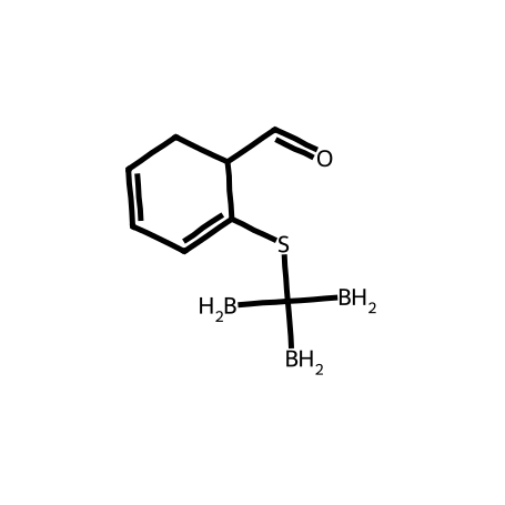 BC(B)(B)SC1=CC=CCC1C=O